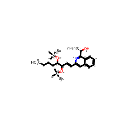 CCCCC[C@H](O)c1nc(/C=C/C(O[Si](C)(C)C(C)(C)C)C(CCCC(=O)O)O[Si](C)(C)C(C)(C)C)cc2ccccc12